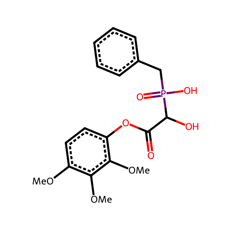 COc1ccc(OC(=O)C(O)P(=O)(O)Cc2ccccc2)c(OC)c1OC